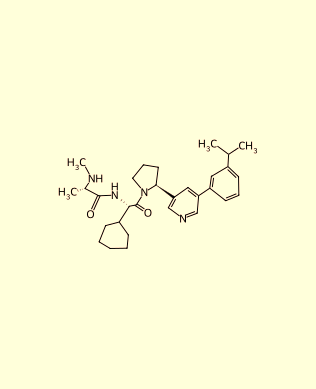 CN[C@@H](C)C(=O)N[C@H](C(=O)N1CCC[C@H]1c1cncc(-c2cccc(C(C)C)c2)c1)C1CCCCC1